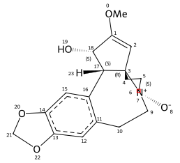 COC1=C[C@]23CCC[N@+]2([O-])CCc2cc4c(cc2[C@@H]3[C@@H]1O)OCO4